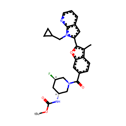 Cc1c(-c2cc3cccnc3n2CC2CC2)oc2cc(C(=O)N3C[C@H](F)C[C@@H](NC(=O)OC(C)(C)C)C3)ccc12